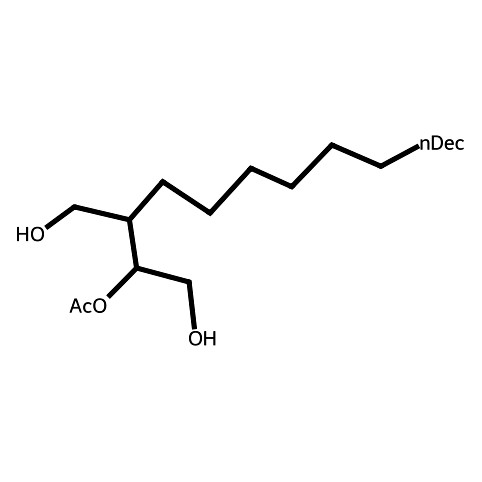 CCCCCCCCCCCCCCCCC(CO)C(CO)OC(C)=O